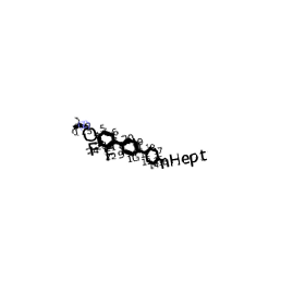 C/C=C\Oc1ccc(-c2ccc(C3CCC(CCCCCCC)CC3)cc2)c(F)c1F